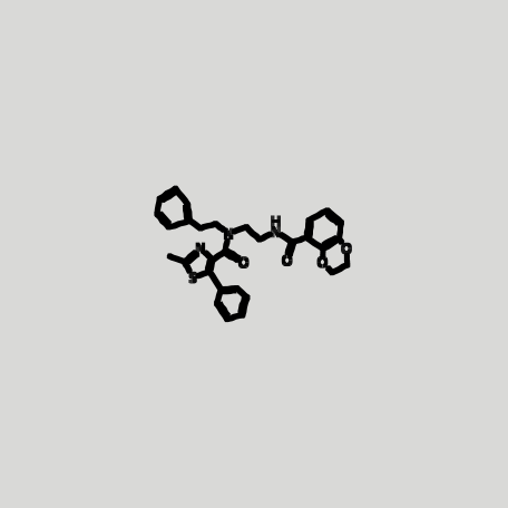 Cc1nc(C(=O)N(CCNC(=O)c2cccc3c2OCCO3)CCc2ccccc2)c(-c2ccccc2)s1